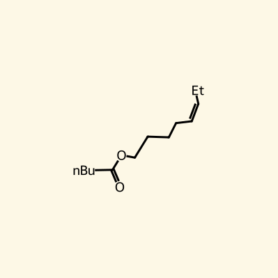 CC/C=C\CCCCOC(=O)CCCC